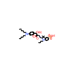 CCCCCCN(CCCCCC)c1ccc2c(O)c(/C=C/C3=[N+](CCCC)c4ccc(S(=O)(=O)O)cc4C3(C)C)c(=O)oc2c1